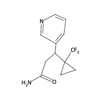 NC(=O)CC(c1cccnc1)C1(C(F)(F)F)CC1